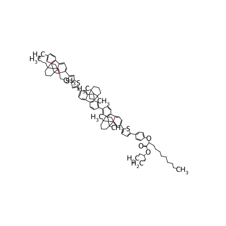 C=CC(C=C)OC(=O)C(CCCCCCCCC)Oc1ccc(-c2ccc(-c3ccc4c(c3)C3(c5cc(-c6ccc7c(c6)C6(c8cc(-c9cc%10sc(-c%11ccc%12c(c%11)C%11(c%13cc(C)ccc%13-%12)C%12(CCC)CCCC%11(CCC)CCC%12)cc%10s9)ccc8-7)C7(C)CCCC6(C)CCC7)ccc5-4)C4(C)CCCC3(C)CCC4)s2)cc1